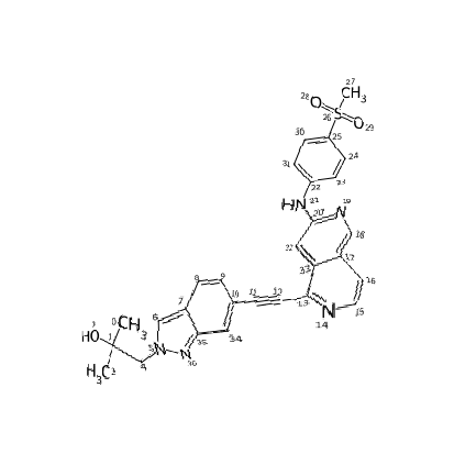 CC(C)(O)Cn1cc2ccc(C#Cc3nccc4cnc(Nc5ccc(S(C)(=O)=O)cc5)cc34)cc2n1